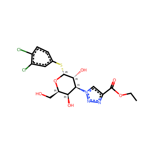 CCOC(=O)c1cn([C@@H]2[C@@H](O)[C@@H](Sc3ccc(Cl)c(Cl)c3)O[C@H](CO)[C@@H]2O)nn1